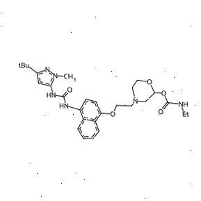 CCNC(=O)OC1CN(CCOc2ccc(NC(=O)Nc3cc(C(C)(C)C)nn3C)c3ccccc23)CCO1